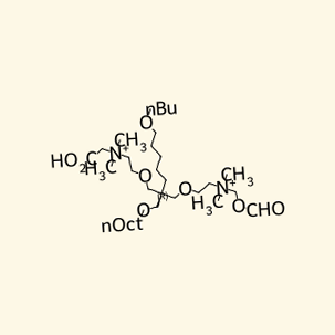 CCCCCCCCOC[C@@](CCCCCOCCCC)(COCC[N+](C)(C)COC=O)COCC[N+](C)(C)CC(=O)O